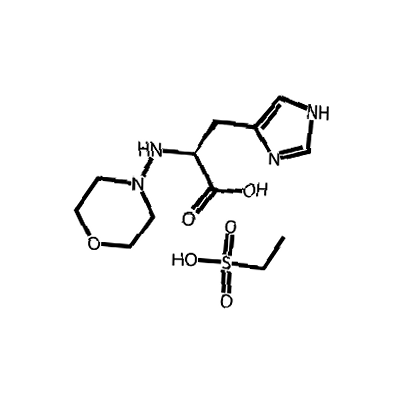 CCS(=O)(=O)O.O=C(O)[C@H](Cc1c[nH]cn1)NN1CCOCC1